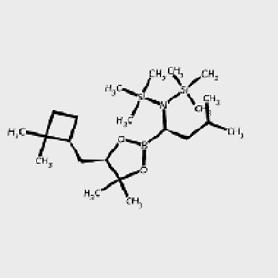 CC(C)C[C@@H](B1O[C@H](C[C@@H]2CCC2(C)C)C(C)(C)O1)N([Si](C)(C)C)[Si](C)(C)C